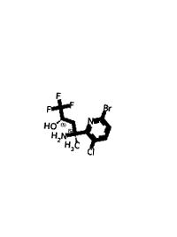 C[C@](N)(C[C@H](O)C(F)(F)F)c1nc(Br)ccc1Cl